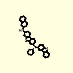 c1ccc(N(c2ccc3c(c2)sc2cc(Nc4ccc5ccccc5c4)ccc23)c2ccc3sc4ccccc4c3c2)cc1